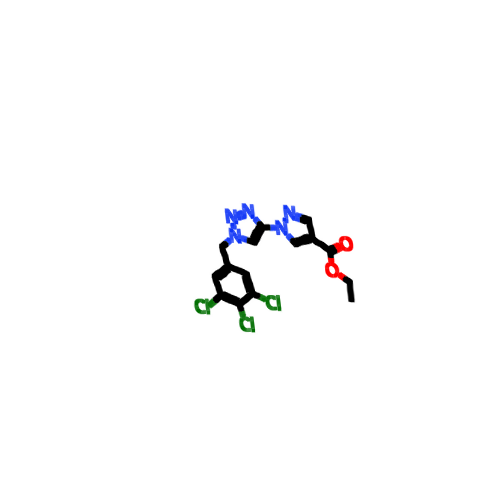 CCOC(=O)c1cnn(-c2cn(Cc3cc(Cl)c(Cl)c(Cl)c3)nn2)c1